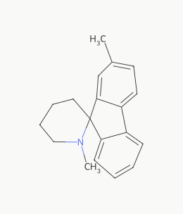 Cc1ccc2c(c1)C1(CCCCN1C)c1ccccc1-2